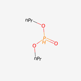 CCCO[PH](=O)OCCC